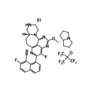 C#Cc1c(F)ccc2cccc(-c3nc4c5c(nc(OC[C@]67CCCN6C[C@H](OC(C(F)(F)F)(C(F)(F)F)C(F)(F)F)C7)nc5c3F)N3C[C@@H](CC)NC[C@H]3CC4)c12